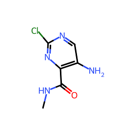 CNC(=O)c1nc(Cl)ncc1N